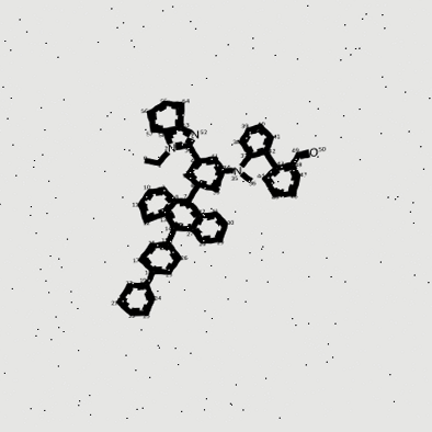 CCn1c(-c2cc(-c3c4ccccc4c(-c4ccc(-c5ccccc5)cc4)c4ccccc34)cc(N(C)c3ccccc3-c3ccccc3C=O)c2)nc2ccccc21